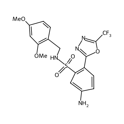 COc1ccc(CNS(=O)(=O)c2cc(N)ccc2-c2nnc(C(F)(F)F)o2)c(OC)c1